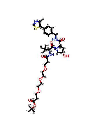 Cc1ncsc1-c1ccc(CNC(=O)[C@@H]2C[C@H](O)CN2C(=O)[C@@H](NC(=O)CCOCCOCCOCCC(=O)OC(C)(C)C)C(C)(C)C)cc1